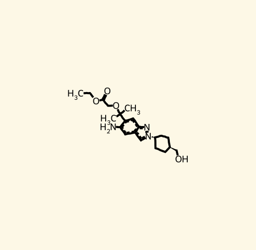 CCOC(=O)COC(C)(C)c1cc2nn([C@H]3CC[C@H](CO)CC3)cc2cc1N